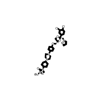 CCC(C)n1ncn(-c2ccc(N3CCN(c4ccc(OC[C@@H]5CO[C@@](Cn6cccn6)(c6ccc(Cl)c(Cl)c6)O5)cc4)CC3)cc2)c1=O